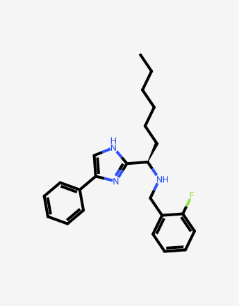 CCCCCC[C@@H](NCc1ccccc1F)c1nc(-c2ccccc2)c[nH]1